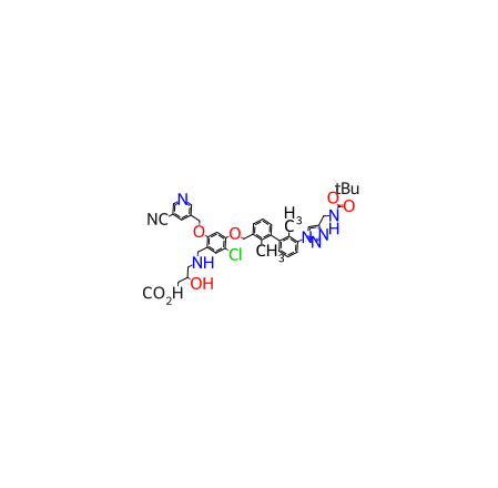 Cc1c(COc2cc(OCc3cncc(C#N)c3)c(CNCC(O)CC(=O)O)cc2Cl)cccc1-c1cccc(-n2cc(CNC(=O)OC(C)(C)C)nn2)c1C